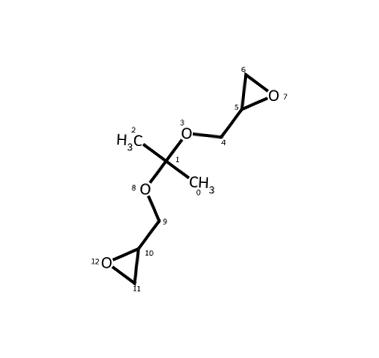 CC(C)(OCC1CO1)OCC1CO1